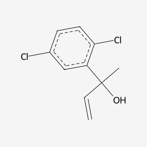 C=CC(C)(O)c1cc(Cl)ccc1Cl